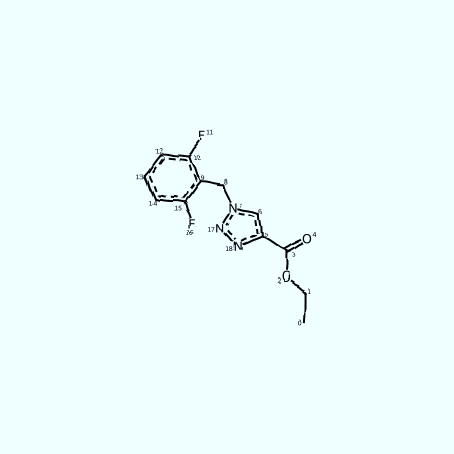 CCOC(=O)c1cn(Cc2c(F)cccc2F)nn1